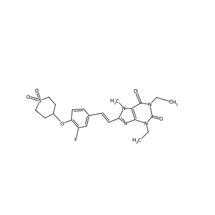 CCn1c(=O)c2c(nc(C=Cc3ccc(OC4CCS(=O)(=O)CC4)c(F)c3)n2C)n(CC)c1=O